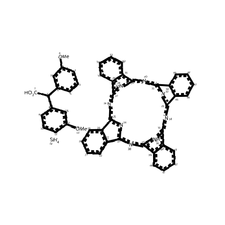 COc1cccc(C(C(=O)O)c2cccc(OC)c2)c1.[SiH4].c1ccc2c(c1)-c1nc-2nc2[nH]c(nc3nc(nc4[nH]c(n1)c1ccccc41)-c1ccccc1-3)c1ccccc21